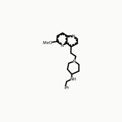 COc1ccc2nccc(CCN3CCC(NCC(C)C)CC3)c2n1